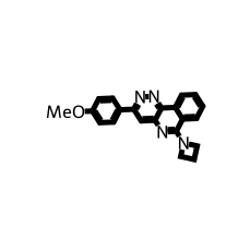 COc1ccc(-c2cc3nc(N4CCC4)c4ccccc4c3nn2)cc1